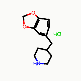 Cl.c1cc2c(cc1CC1CCNCC1)OCO2